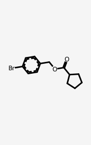 O=C(OCc1ccc(Br)cc1)C1CCCC1